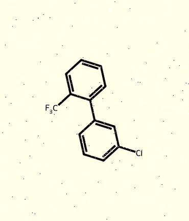 FC(F)(F)c1ccccc1-c1[c]ccc(Cl)c1